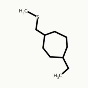 CCC1CCCC(CSC)CC1